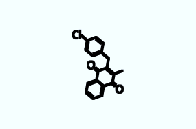 CC1=C(Cc2ccc(Cl)cc2)C(=O)c2ccccc2C1=O